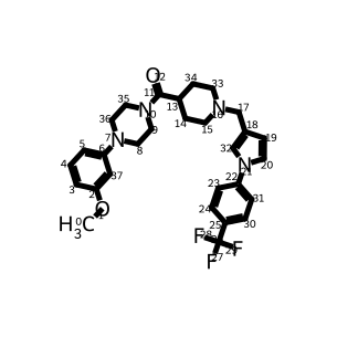 COc1cccc(N2CCN(C(=O)C3CCN(Cc4ccn(-c5ccc(C(F)(F)F)cc5)c4)CC3)CC2)c1